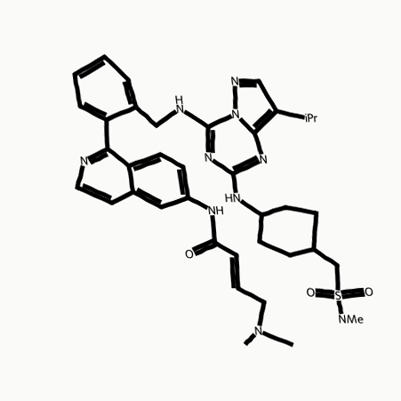 CNS(=O)(=O)CC1CCC(Nc2nc(NCc3ccccc3-c3nccc4cc(NC(=O)/C=C/CN(C)C)ccc34)n3ncc(C(C)C)c3n2)CC1